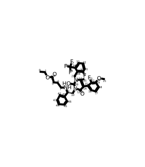 CCOC(=O)CCCN[C@@H](CN1C(=O)C(c2cccc(OC)c2F)=C(C)N(Cc2c(F)cccc2C(F)(F)F)C1O)c1ccccc1